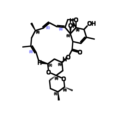 CC1=CC2C(=O)O[C@H]3C[C@@H](C/C=C(\C)C[C@@H](C)/C=C/C=C4\CO[C@H](C1O)[C@@]42O)O[C@@]1(CC[C@H](C)[C@@H](C)O1)C3